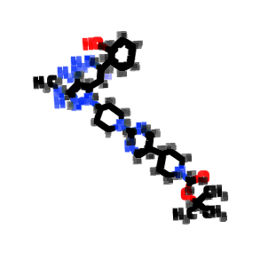 CNc1nn(C2CCN(c3ncc(C4=CCN(C(=O)OC(C)(C)C)CC4)cn3)CC2)c(/C=C(\N)c2ccccc2O)c1N